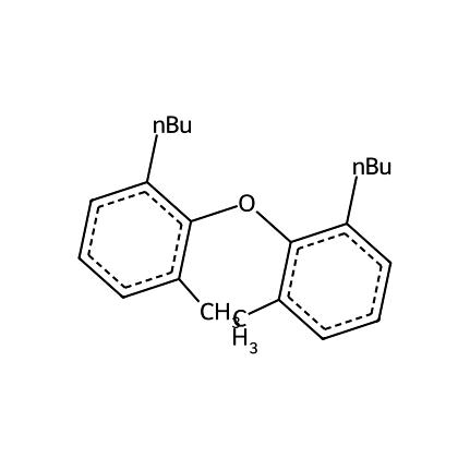 CCCCc1cccc(C)c1Oc1c(C)cccc1CCCC